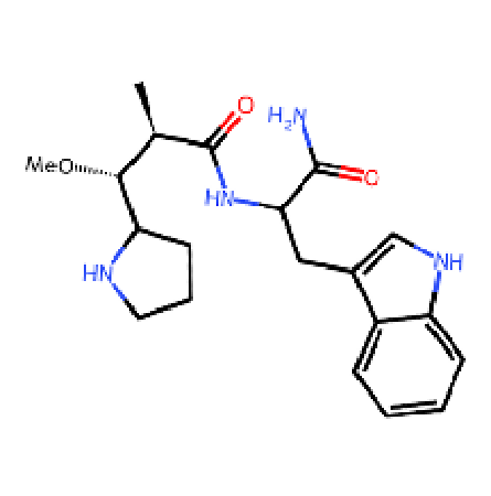 CO[C@@H](C1CCCN1)[C@@H](C)C(=O)NC(Cc1c[nH]c2ccccc12)C(N)=O